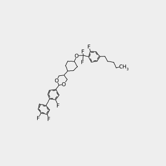 CCCCCc1ccc(C(F)(F)OC2CCC(C3COC(c4ccc(-c5ccc(F)c(F)c5)c(F)c4)OC3)CC2)c(F)c1